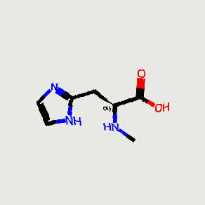 CN[C@@H](Cc1ncc[nH]1)C(=O)O